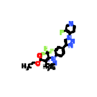 C=NN(/C(=C(\C)C(=O)OCC)C(F)(F)F)c1ccc(-c2cn(-c3ccncc3F)nn2)cc1